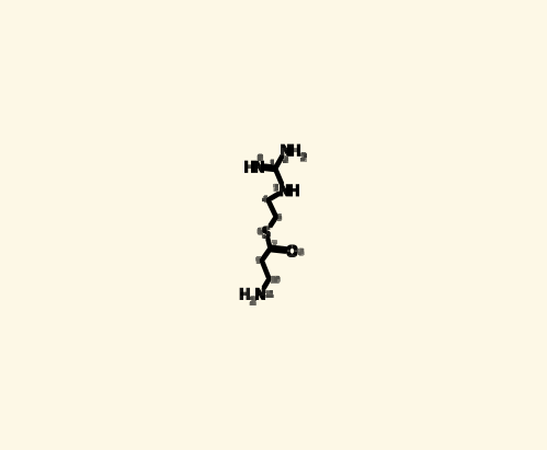 N=C(N)NCCSC(=O)CCN